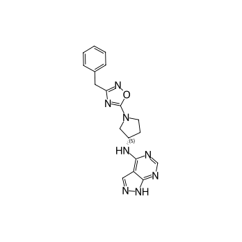 c1ccc(Cc2noc(N3CC[C@H](Nc4ncnc5[nH]ncc45)C3)n2)cc1